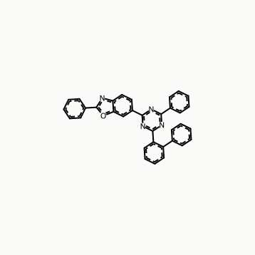 c1ccc(-c2nc(-c3ccc4nc(-c5ccccc5)oc4c3)nc(-c3ccccc3-c3ccccc3)n2)cc1